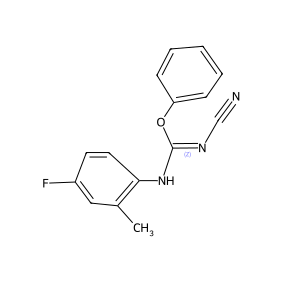 Cc1cc(F)ccc1N/C(=N/C#N)Oc1ccccc1